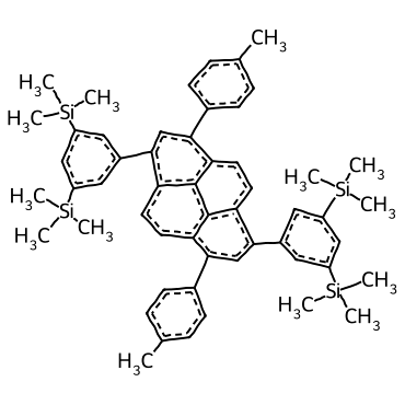 Cc1ccc(-c2cc(-c3cc([Si](C)(C)C)cc([Si](C)(C)C)c3)c3ccc4c(-c5ccc(C)cc5)cc(-c5cc([Si](C)(C)C)cc([Si](C)(C)C)c5)c5ccc2c3c45)cc1